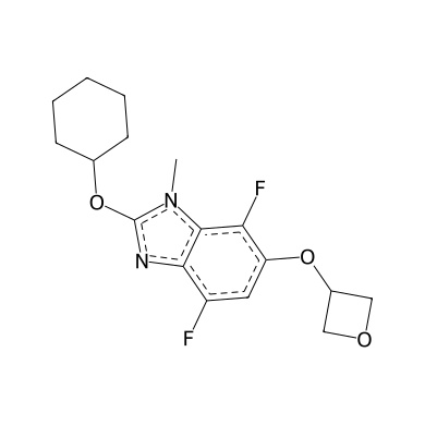 Cn1c(OC2CCCCC2)nc2c(F)cc(OC3COC3)c(F)c21